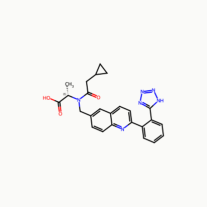 C[C@@H](C(=O)O)N(Cc1ccc2nc(-c3ccccc3-c3nnn[nH]3)ccc2c1)C(=O)CC1CC1